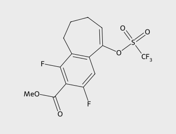 COC(=O)c1c(F)cc2c(c1F)CCCC=C2OS(=O)(=O)C(F)(F)F